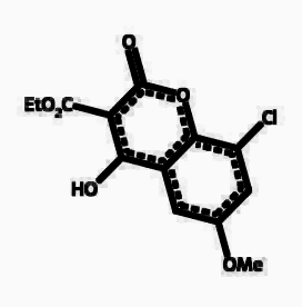 CCOC(=O)c1c(O)c2cc(OC)cc(Cl)c2oc1=O